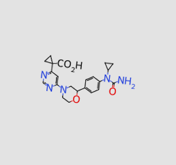 NC(=O)N(c1ccc(C2CN(c3cc(C4(C(=O)O)CC4)ncn3)CCO2)cc1)C1CC1